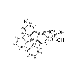 O=P(O)(O)O.[Br-].c1ccc([P+](c2ccccc2)(c2ccccc2)c2ccccc2)cc1